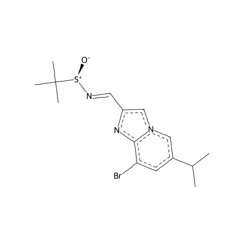 CC(C)c1cc(Br)c2nc(/C=N/[S@+]([O-])C(C)(C)C)cn2c1